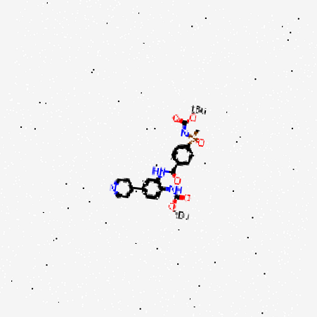 CC(C)(C)OC(=O)N=S(C)(=O)c1ccc(C(=O)Nc2cc(-c3ccncc3)ccc2NC(=O)OC(C)(C)C)cc1